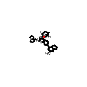 O=C(O)CNC(=O)N1[C@@H]2CC[C@H]1CN(c1nc(OCC34CCCN3CCC4)nc3cc(-c4cc(O)cc5ccccc45)ccc13)C2